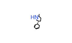 CC1CC[C@@H](C2C=CC=CC2)CN1